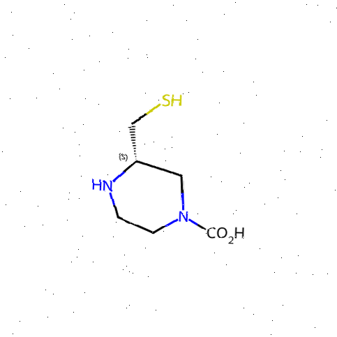 O=C(O)N1CCN[C@H](CS)C1